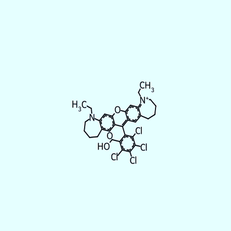 CCN1CCCCc2cc3c(cc21)Oc1cc2c(cc1=C3c1c(Cl)c(Cl)c(Cl)c(Cl)c1C(=O)O)CCCC[N+]=2CC